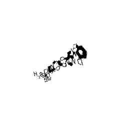 COC(=O)[C@H](CN1CC(O[Si](C)(C)C(C)(C)C)C1)Oc1ncnc2c1cnn2-c1c(Cl)cccc1Cl